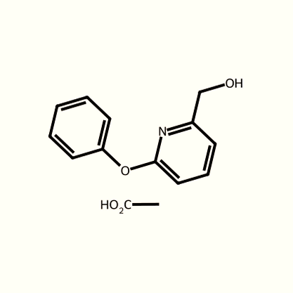 CC(=O)O.OCc1cccc(Oc2ccccc2)n1